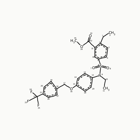 CCc1ccc(S(=O)(=O)N(CC)c2ccc(OCc3ccc(C(F)(F)F)cc3)cc2)cc1C(=O)OC